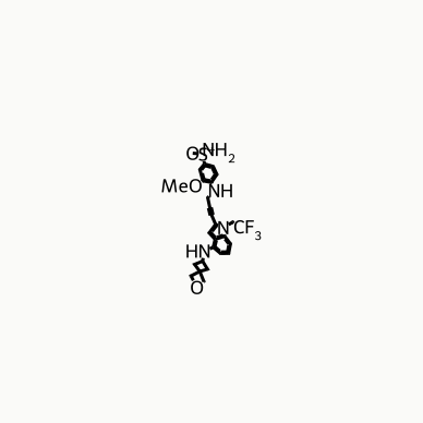 COc1cc([S+](N)[O-])ccc1NCC#Cc1cc2c(NC3CC4(COC4)C3)cccc2n1CC(F)(F)F